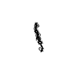 C=CC(=O)CC#Cc1ccc(-c2ncc(OC(=O)c3ccc(OCOC(=O)C=C)cc3)cn2)cc1